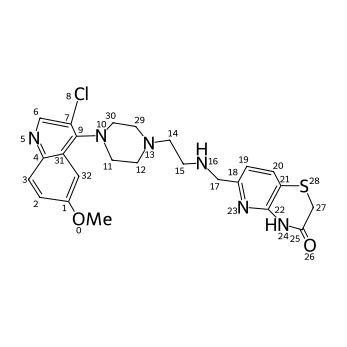 COc1ccc2ncc(Cl)c(N3CCN(CCNCc4ccc5c(n4)NC(=O)CS5)CC3)c2c1